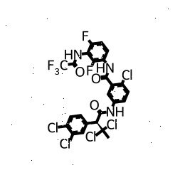 CC(Cl)(Cl)[C@H](C(=O)Nc1ccc(Cl)c(C(=O)Nc2ccc(F)c(NC(=O)C(F)(F)F)c2F)c1)c1ccc(Cl)c(Cl)c1